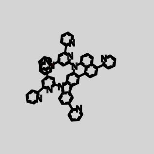 c1ccc(-c2cc(-c3ccccn3)nc(N3c4cc5c(cc4-c4ccc(-c6ccccn6)c6cccc3c46)c3cc(-c4ccccn4)ccc3n5-c3cc(-c4ccccn4)cc(-c4ccccn4)n3)c2)nc1